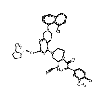 C=C(C(=O)N1CCN(c2nc(OC[C@@H]3CCCN3C)nc3c2CCN(c2cccc4cccc(Cl)c24)C3)C[C@@H]1CC#N)c1ccc(=O)n(C)n1